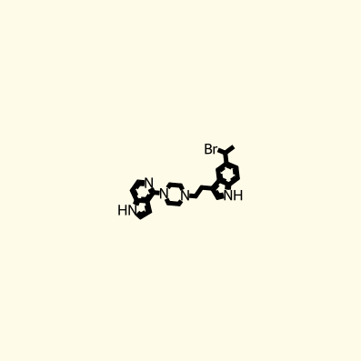 CC(Br)c1ccc2[nH]cc(CCN3CCN(c4nccc5[nH]ccc45)CC3)c2c1